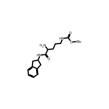 CC(C)(C)OC(=O)NCCCC(N)C(=O)NC1Cc2ccccc2C1